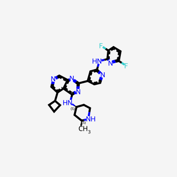 C[C@H]1C[C@@H](Nc2nc(-c3ccnc(Nc4nc(F)ccc4F)c3)nc3cncc(C4CCC4)c23)CCN1